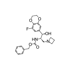 O=C(N[C@H](CN1CCC1)[C@H](O)c1cc(F)c2c(c1)OCCO2)OCc1ccccc1